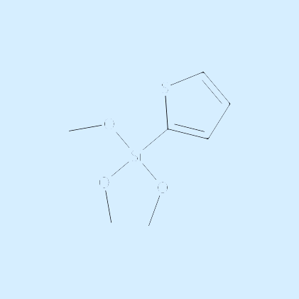 CO[Si](OC)(OC)c1cccs1